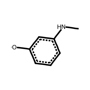 CNc1cccc([O])c1